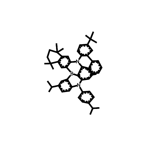 Cc1cc2c3c(c1)N(c1ccc(C(C)(C)C)cc1-c1ccccc1)c1cc4c(cc1B3c1cc(C(C)C)ccc1N2c1ccc(C(C)C)cc1)C(C)(C)CCC4(C)C